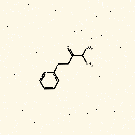 NC(C(=O)O)C(=O)CCc1ccccc1